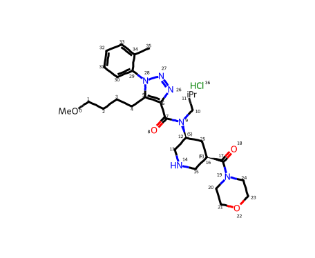 COCCCCc1c(C(=O)N(CC(C)C)[C@@H]2CNC[C@H](C(=O)N3CCOCC3)C2)nnn1-c1ccccc1C.Cl